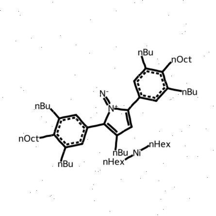 CCCCCCCCc1c(CCCC)cc(C2=CC(CCCC)=C(c3cc(CCCC)c(CCCCCCCC)c(CCCC)c3)[N+]2=[N-])cc1CCCC.CCCCC[CH2][Ni][CH2]CCCCC